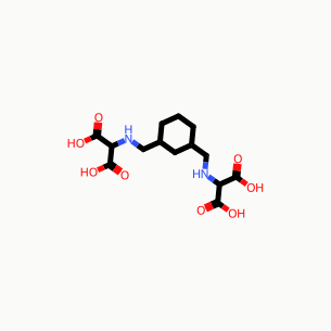 O=C(O)C(NCC1CCCC(CNC(C(=O)O)C(=O)O)C1)C(=O)O